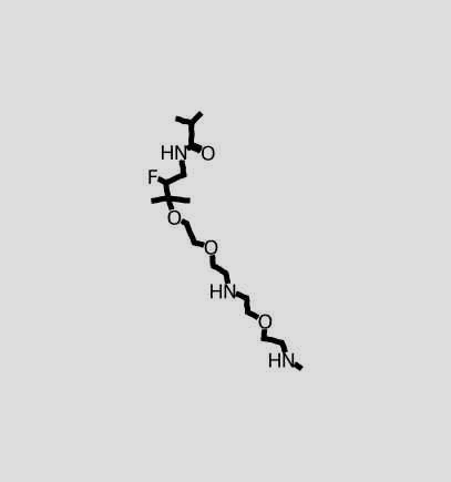 CNCCOCCNCCOCCOC(C)(C)C(F)CNC(=O)C(C)C